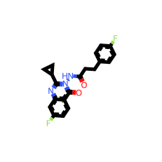 O=C(CCc1ccc(F)cc1)Nn1c(C2CC2)nc2cc(F)ccc2c1=O